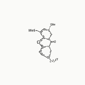 CCOC(=O)c1ccc2oc3c(SC)cc(SC)cc3c(=O)c2c1